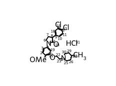 COc1ccc(N2CCC(c3ccc(Cl)c(Cl)c3)C2=O)cc1OCCN1CCC(C)CC1.Cl